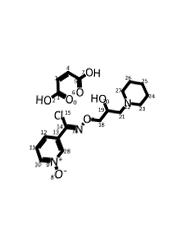 O=C(O)/C=C\C(=O)O.[O-][n+]1cccc(C(Cl)=NOCC(O)CN2CCCCC2)c1